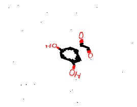 O=CC=O.Oc1cccc(O)c1